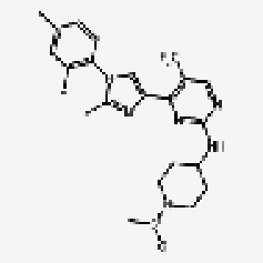 Cc1ccc(-n2cc(-c3nc(NC4CCN([S+](C)[O-])CC4)ncc3C(F)(F)F)nc2C)c(F)c1